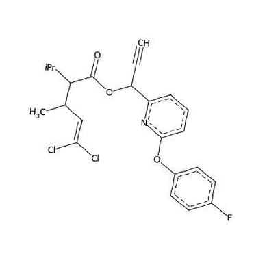 C#CC(OC(=O)C(C(C)C)C(C)C=C(Cl)Cl)c1cccc(Oc2ccc(F)cc2)n1